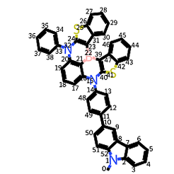 Cn1c2ccccc2c2cc(-c3ccc(N4c5cccc6c5B(c5c(sc7ccccc57)N6c5ccccc5)c5c4sc4ccccc54)cc3)ccc21